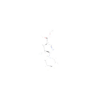 COC(=O)c1cnc(N2CCC(F)(F)CC2)c(Cl)c1